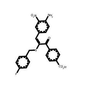 Nc1ccc(/C=C(/SCc2ccc(F)cc2)C(=O)c2ccc(C(=O)O)cc2)cc1[N+](=O)[O-]